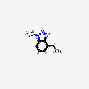 CCc1cccc2c1nnn2C